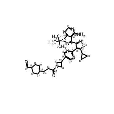 CC(C)(C)n1nc(-c2noc(C3CC3)c2-c2ncc(C3CN(C(=O)CCC4CCC(C=O)CC4)C3)cn2)c2c(N)ncnc21